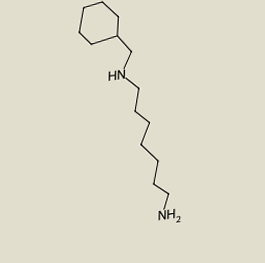 NCCCCCCCNCC1CCCCC1